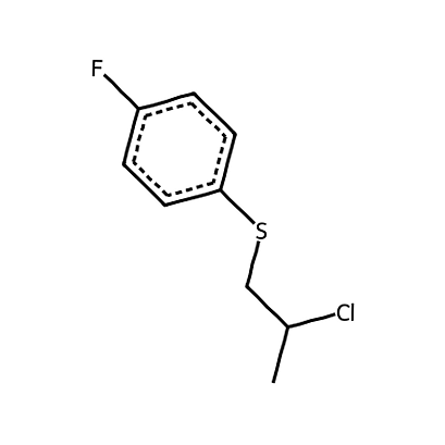 CC(Cl)CSc1ccc(F)cc1